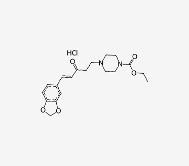 CCOC(=O)N1CCN(CCC(=O)C=Cc2ccc3c(c2)OCO3)CC1.Cl